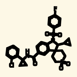 O=C(NC1(c2ccccc2Cl)CC1)c1ccc2c(c1)C1(CCS(=O)(=O)CC1)C(C1CC1)N2S(=O)(=O)c1ccc(F)cc1